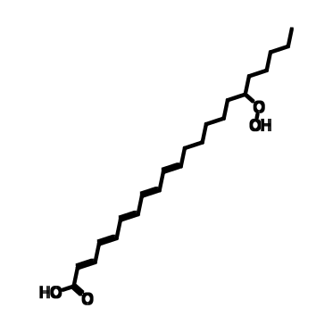 CCCCCC(CCCCCC=CC=CC=CC=CC=CC(=O)O)OO